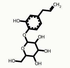 C=CCc1ccc(OC2OC(CO)C(O)C(O)C2O)c(O)c1